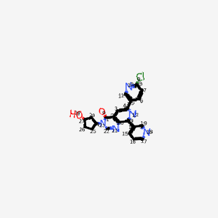 O=c1c2cc(-c3ccc(Cl)nc3)nc(-c3cccnc3)c2ncn1C1CCC(O)C1